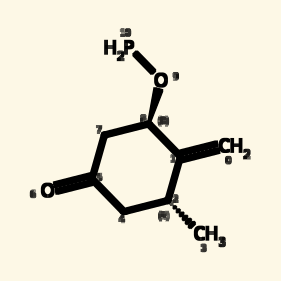 C=C1[C@H](C)CC(=O)C[C@H]1OP